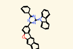 C1=CCC(c2nc(-c3ccc4oc5cc6ccccc6cc5c4c3)nc(-n3c4ccccc4c4ccccc43)n2)C=C1